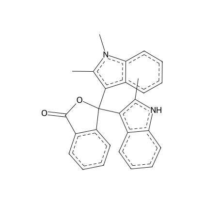 Cc1[nH]c2ccccc2c1C1(c2c(C)n(C)c3ccccc23)OC(=O)c2ccccc21